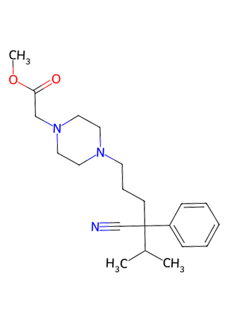 COC(=O)CN1CCN(CCCC(C#N)(c2ccccc2)C(C)C)CC1